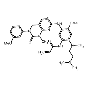 C=CC(=O)Nc1cc(Nc2ncc3c(n2)N(C)C(=O)N(c2cccc(OC)c2)C3)c(OC)cc1N(C)CCN(C)C